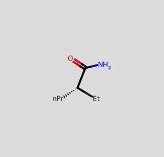 CCC[C@@H](CC)C(N)=O